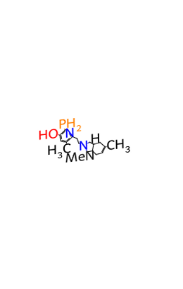 CN[C@@]12CC=C(C)C[C@@H]1CN(CCc1nc(P)c(O)cc1C)C2